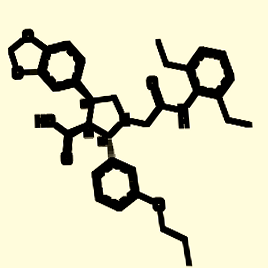 CCCOc1cccc([C@@H]2[C@@H](C(=O)O)[C@@H](c3ccc4c(c3)OCO4)CN2CC(=O)Nc2c(CC)cccc2CC)c1